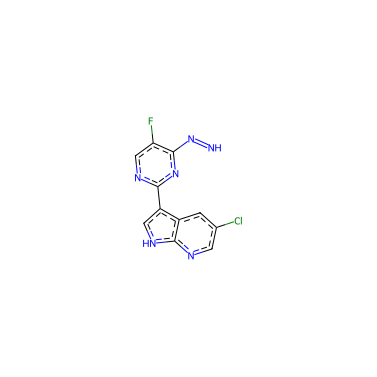 N=Nc1nc(-c2c[nH]c3ncc(Cl)cc23)ncc1F